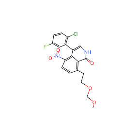 COCOCCc1ccc([N+](=O)[O-])c2c(-c3cc(F)ccc3Cl)c[nH]c(=O)c12